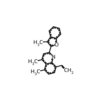 C=Cc1ccc(C)c2c(C)cc(-c3oc4ccccc4c3C)nc12